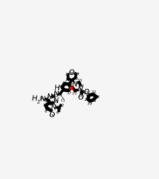 CC(C)n1c(=O)ccc2c(N)nc(N[C@@H](C)c3ccc(C4(N5CCN(C(=O)Oc6ccccc6)CC5)CCOCC4)cc3)nc21